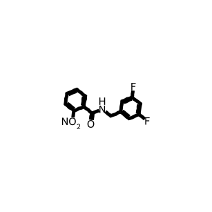 O=C(NCc1cc(F)cc(F)c1)c1ccccc1[N+](=O)[O-]